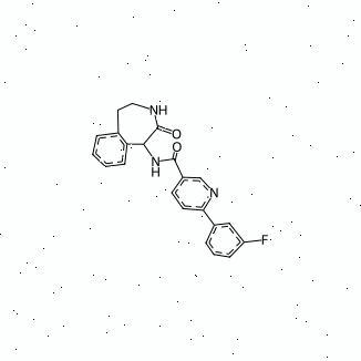 O=C(NC1C(=O)NCCc2ccccc21)c1ccc(-c2cccc(F)c2)nc1